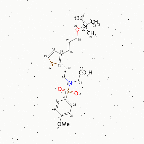 COc1ccc(S(=O)(=O)N(CCc2sccc2C=CCO[Si](C)(C)C(C)(C)C)CC(=O)O)cc1